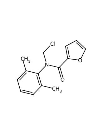 Cc1cccc(C)c1N(CCl)C(=O)c1ccco1